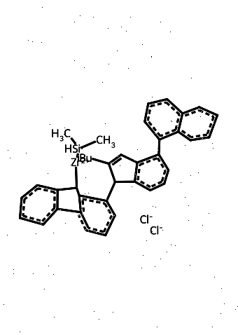 CCC(C)C1=Cc2c(-c3cccc4ccccc34)cccc2C1c1cccc2c1[CH]([Zr+2][SiH](C)C)c1ccccc1-2.[Cl-].[Cl-]